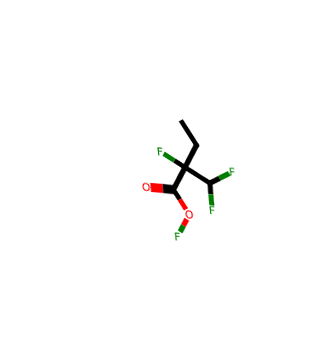 CCC(F)(C(=O)OF)C(F)F